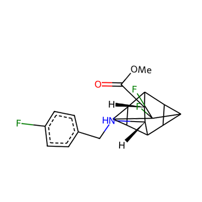 COC(=O)[C@@H]1C2C3C4C(C5C2C5C(F)(F)C34)[C@@H]1NCc1ccc(F)cc1